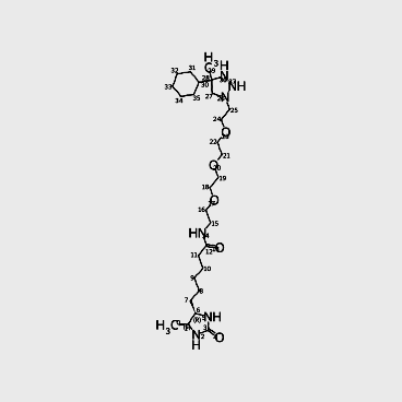 C[C@@H]1NC(=O)N[C@@H]1CCCCCC(=O)NCCOCCOCCOCCN1CC(C)(C2CCCCC2)NN1